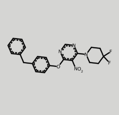 O=[N+]([O-])c1c(Oc2ccc(Cc3ccccc3)cc2)ncnc1N1CCC(F)(F)CC1